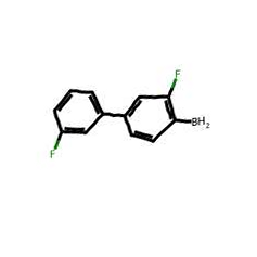 Bc1ccc(-c2cccc(F)c2)cc1F